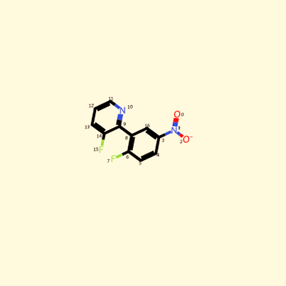 O=[N+]([O-])c1ccc(F)c(-c2ncccc2F)c1